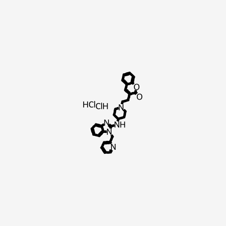 Cl.Cl.O=c1oc2ccccc2cc1CCN1CCC(Nc2nc3ccccc3n2Cc2ccccn2)CC1